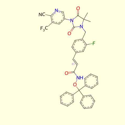 CC1(C)C(=O)N(c2cnc(C#N)c(C(F)(F)F)c2)C(=O)N1Cc1ccc(/C=C/C(=O)NOC(c2ccccc2)(c2ccccc2)c2ccccc2)cc1F